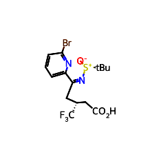 CC(C)(C)[S@@+]([O-])/N=C(/C[C@H](CC(=O)O)C(F)(F)F)c1cccc(Br)n1